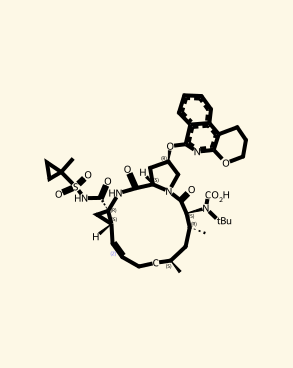 C[C@H]1CC/C=C\[C@@H]2C[C@@]2(C(=O)NS(=O)(=O)C2(C)CC2)NC(=O)[C@@H]2C[C@@H](Oc3nc4c(c5ccccc35)CCCO4)CN2C(=O)[C@@H](N(C(=O)O)C(C)(C)C)[C@H](C)C1